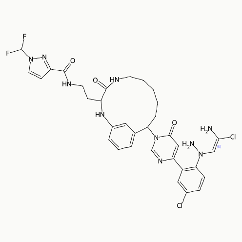 N/C(Cl)=C\N(N)c1ccc(Cl)cc1-c1cc(=O)n(C2CCCCCNC(=O)C(CCNC(=O)c3ccn(C(F)F)n3)Nc3cccc2c3)cn1